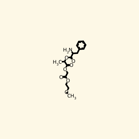 COCCOC(=O)COC(=O)C(C)OC(=O)C(N)Cc1ccccc1